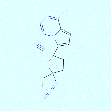 N#C[C@@]1(c2ccc3c(N)ncnn23)OC(CO)(N=[N+]=[N-])[C@@H](O)[C@H]1O